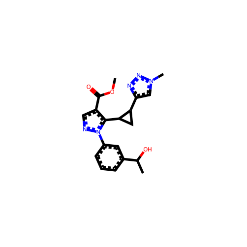 COC(=O)c1cnn(-c2cccc(C(C)O)c2)c1C1CC1c1cn(C)nn1